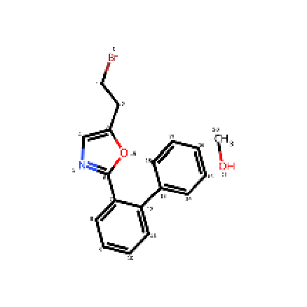 BrCCc1cnc(-c2ccccc2-c2ccccc2)o1.CO